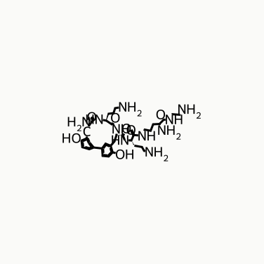 NCCC[C@H](NC(=O)[C@@H]1Cc2cc(ccc2O)-c2ccc(O)c(c2)C[C@H](N)C(=O)N[C@@H](CCCN)C(=O)N1)C(=O)NCCC[C@H](N)C(=O)NCCN